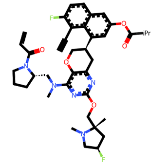 C#Cc1c(F)ccc2cc(OC(=O)C(C)C)cc([C@@H]3COc4c(nc(OC[C@]5(C)C[C@@H](F)CN5C)nc4N(C)C[C@@H]4CCCN4C(=O)C=C)C3)c12